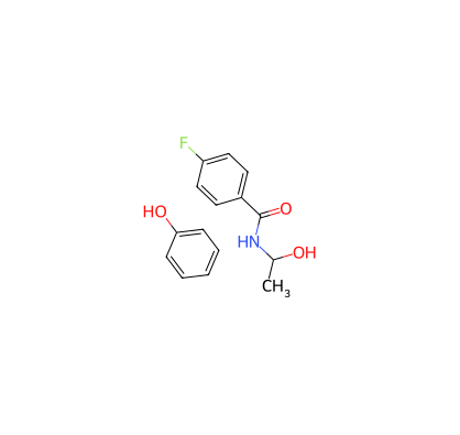 CC(O)NC(=O)c1ccc(F)cc1.Oc1ccccc1